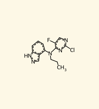 CCCN(c1nc(Cl)ncc1F)c1cccc2[nH]ncc12